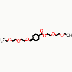 CCOCCOCCOC=C1CCC(C(=O)OCCOCCOCC)CC1